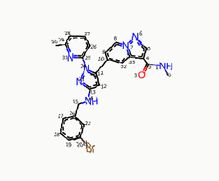 CNC(=O)c1cnn2ccc(-c3cc(NCc4cccc(Br)c4)nn3-c3cccc(C)n3)cc12